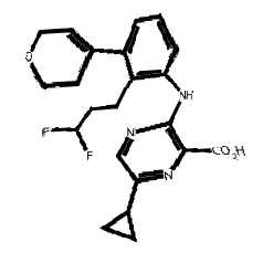 O=C(O)c1nc(C2CC2)cnc1Nc1cccc(C2=CCOCC2)c1CCC(F)F